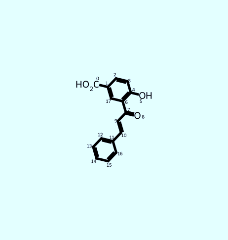 O=C(O)c1ccc(O)c(C(=O)C=Cc2ccccc2)c1